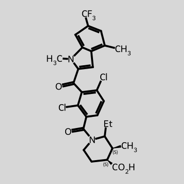 CCC1[C@@H](C)[C@@H](C(=O)O)CCN1C(=O)c1ccc(Cl)c(C(=O)c2cc3c(C)cc(C(F)(F)F)cc3n2C)c1Cl